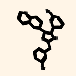 Brc1cccc(Cc2nc(-c3ccc4ncccc4c3)c(-c3cccc(Br)n3)[nH]2)c1